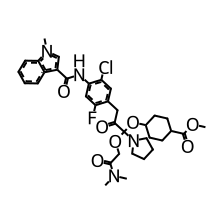 COC(=O)C1CCC(OC(OCC(=O)N(C)C)(C(=O)Cc2cc(Cl)c(NC(=O)c3cn(C)c4ccccc34)cc2F)N2CCCC2)CC1